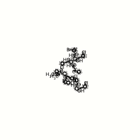 COc1cccc(C(=O)N[C@H]2CCC[C@](C#Cc3cccc(Cl)c3)(OC(=O)c3nccc4ccccc34)C2)c1OC.O=C(CCC(=O)c1ccccc1)N[C@H]1CCC[C@@](O)(C#Cc2cccc(Cl)c2)C1.O=C(N[C@H]1CCC[C@@](O)(C#Cc2cccc(Cl)c2)C1)c1cccnc1Cl.O=C(N[C@H]1CCC[C@@](O)(C#Cc2cccc(Cl)c2)C1)c1cncc(Br)c1